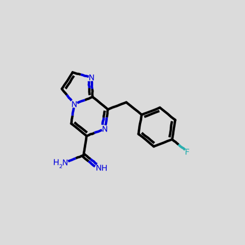 N=C(N)c1cn2ccnc2c(Cc2ccc(F)cc2)n1